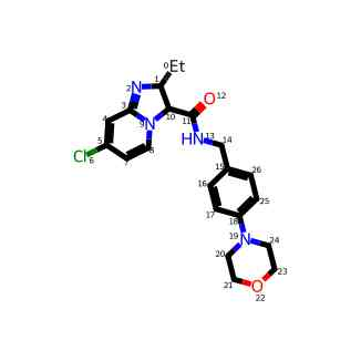 CCC1N=C2C=C(Cl)C=CN2C1C(=O)NCc1ccc(N2CCOCC2)cc1